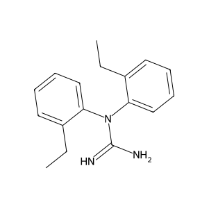 CCc1ccccc1N(C(=N)N)c1ccccc1CC